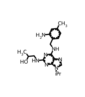 Cc1ccc(CNc2nc(NCC(C)O)nc3c2ncn3C(C)C)c(N)c1